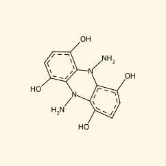 NN1c2c(O)ccc(O)c2N(N)c2c(O)ccc(O)c21